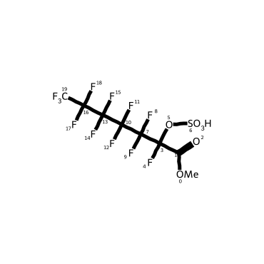 COC(=O)C(F)(OS(=O)(=O)O)C(F)(F)C(F)(F)C(F)(F)C(F)(F)C(F)(F)F